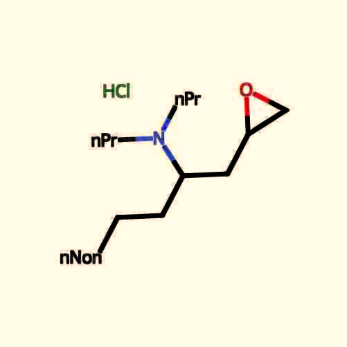 CCCCCCCCCCCC(CC1CO1)N(CCC)CCC.Cl